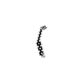 C[Si](C)(C)O[Si](C)(C)CCCCCCCCCc1ccc(C2CCC(c3ccc(C#N)nc3)CC2)cc1